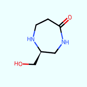 O=C1CCN[C@H](CO)CN1